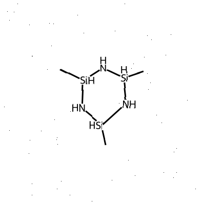 C[SiH]1N[SiH](C)N[SiH](C)N1